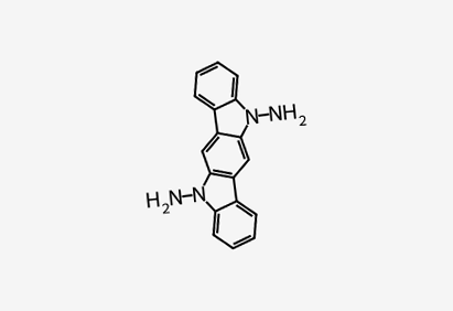 Nn1c2ccccc2c2cc3c(cc21)c1ccccc1n3N